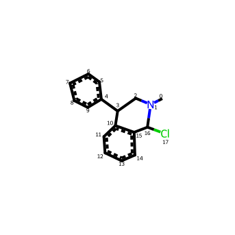 CN1CC(c2ccccc2)c2ccccc2C1Cl